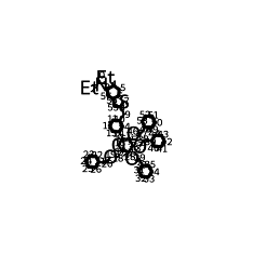 CCN(CC)c1ccc2sc(Cc3cccc([C@@H]4O[C@H](COCc5ccccc5)[C@@H](OCc5ccccc5)[C@H](OCc5ccccc5)[C@H]4OCc4ccccc4)c3)cc2c1